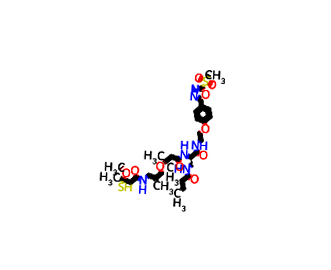 CCCC(=O)NC[C@H](NC(=O)CC(C)(C)OCC(C)CNC(=O)CC(C)(S)OC)C(=O)NCCOc1ccc(-c2nnc(S(C)(=O)=O)o2)cc1